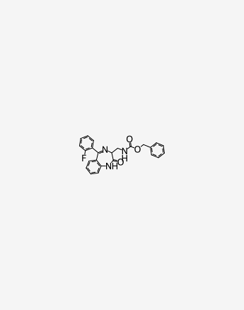 O=C(NCC1N=C(c2ccccc2F)c2ccccc2NC1=O)OCc1ccccc1